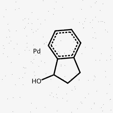 OC1CCc2ccccc21.[Pd]